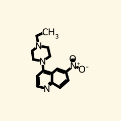 CCN1CCN(c2ccnc3ccc([N+](=O)[O-])cc23)CC1